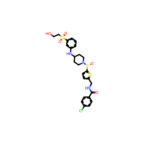 O=C(NCc1ccc([S+]([O-])N2CCC(Nc3cccc(S(=O)(=O)CCO)c3)CC2)s1)c1ccc(Cl)cc1